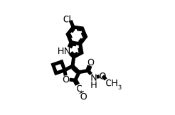 CONC(=O)C1=C(c2cc3ccc(Cl)cc3[nH]2)C2(CCC2)OC1=C=O